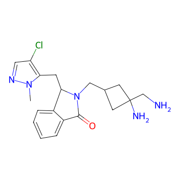 Cn1ncc(Cl)c1CC1c2ccccc2C(=O)N1CC1CC(N)(CN)C1